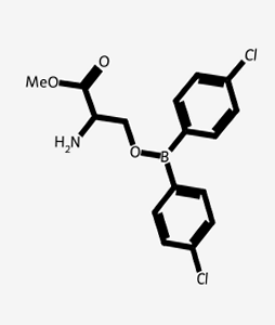 COC(=O)C(N)COB(c1ccc(Cl)cc1)c1ccc(Cl)cc1